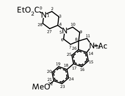 CCOC(=O)N1CCC(N2CCC3(CC2)CN(C(C)=O)c2ccc(-c4ccc(OC)cc4)cc23)CC1